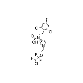 O=C(O)N(CCc1c(Cl)cc(Cl)cc1Cl)N1C=CN(CCOC(F)(F)C(F)Cl)C1